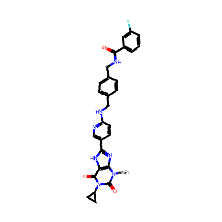 CCCn1c(=O)n(C2CC2)c(=O)c2[nH]c(-c3ccc(NCc4ccc(CNC(=O)c5cccc(F)c5)cc4)nc3)nc21